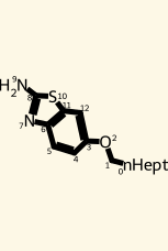 CCCCCCCCOc1ccc2nc(N)sc2c1